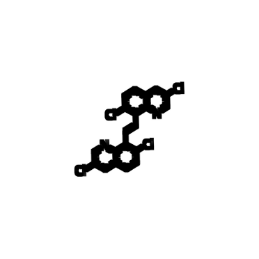 Clc1cnc2c(C=Cc3c(Cl)ccc4cc(Cl)cnc34)c(Cl)ccc2c1